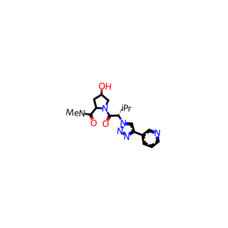 CNC(=O)C1CC(O)CN1C(=O)[C@H](C(C)C)n1cc(-c2cccnc2)nn1